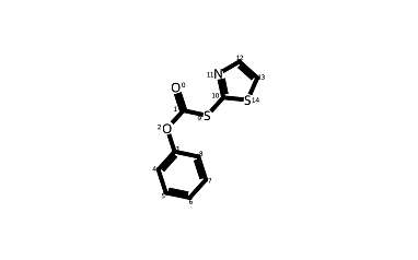 O=C(Oc1ccccc1)Sc1nccs1